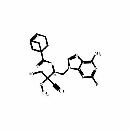 C#CC(CO)(OC)[C@H](Cn1cnc2c(N)nc(F)nc21)OC(=O)C12CCC=C(C1)C2